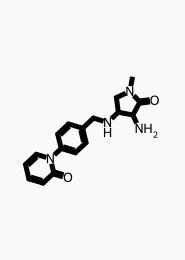 CN1CC(NCc2ccc(-n3ccccc3=O)cc2)C(N)C1=O